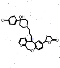 O=C1CCC(c2ccc3c(c2)/C(=C/CCN2CCC(O)(c4ccc(Cl)cc4)CC2)c2cccnc2CO3)O1